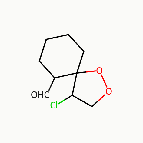 O=CC1CCCCC12OOCC2Cl